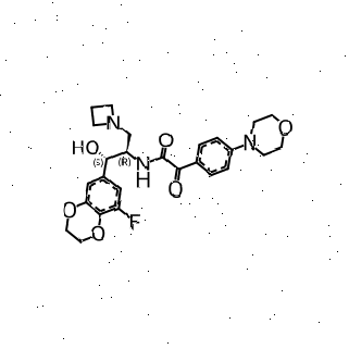 O=C(N[C@H](CN1CCC1)[C@@H](O)c1cc(F)c2c(c1)OCCO2)C(=O)c1ccc(N2CCOCC2)cc1